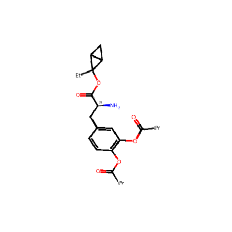 CCC1(OC(=O)[C@@H](N)Cc2ccc(OC(=O)C(C)C)c(OC(=O)C(C)C)c2)C2CC21